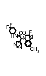 Cc1ccc(N(C(=O)[C@H](F)Cl)[C@@H](C(=O)NC2CCC(F)(F)CC2)c2cncnc2)c(F)c1